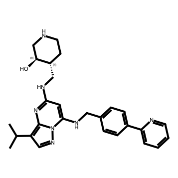 CC(C)c1cnn2c(NCc3ccc(-c4ccccn4)cc3)cc(NC[C@H]3CCNC[C@@H]3O)nc12